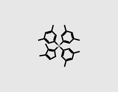 CC1=CCC([Si](c2cc(C)cc(C)c2)(c2cc(C)cc(C)c2)c2cc(C)cc(C)c2)=C1C